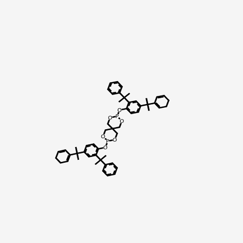 CC(C)(C1=CCCC=C1)c1ccc(OP2OCC3(CO2)COP(Oc2ccc(C(C)(C)C4=CCCC=C4)cc2C(C)(C)c2ccccc2)OC3)c(C(C)(C)c2ccccc2)c1